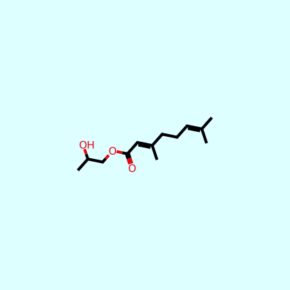 CC(C)=CCC/C(C)=C/C(=O)OCC(C)O